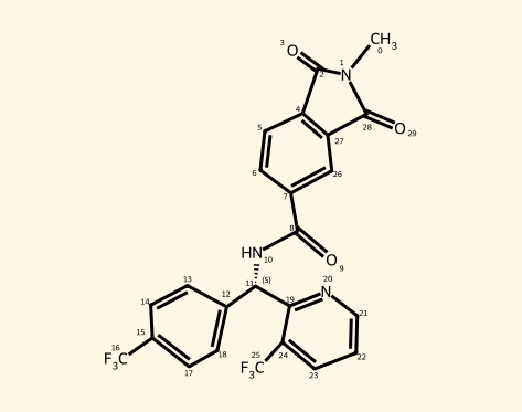 CN1C(=O)c2ccc(C(=O)N[C@@H](c3ccc(C(F)(F)F)cc3)c3ncccc3C(F)(F)F)cc2C1=O